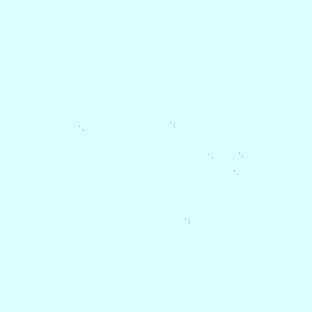 NC1(c2ccc(-c3nc4ccc5nnc(-c6ccncc6)n5c4cc3-c3ccccc3)cc2)CCC1